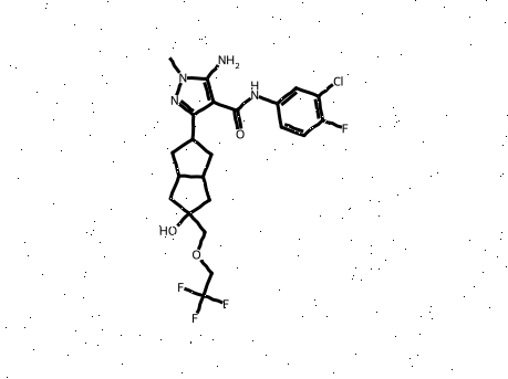 Cn1nc(C2CC3CC(O)(COCC(F)(F)F)CC3C2)c(C(=O)Nc2ccc(F)c(Cl)c2)c1N